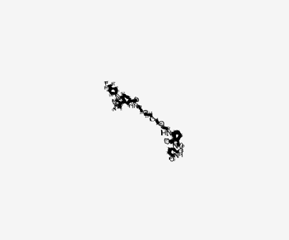 Cn1cc2c3cc(C(=O)NCCOCCOCCOCCNc4cccc5c4C(=O)N(C4CCC(=O)NC4=O)C5=O)ccc3n(-c3ccc(C(F)(F)F)cc3)c2n1